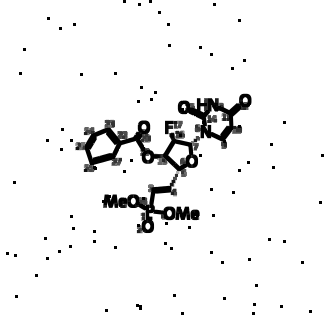 COP(=O)(/C=C/[C@H]1O[C@@H](n2ccc(=O)[nH]c2=O)[C@H](F)[C@@H]1OC(=O)c1ccccc1)OC